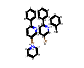 Brc1ccc(-c2ccccc2)nc1.Brc1ccc(-c2ccccc2)nc1.[Ir][c]1ccccc1.c1ccncc1